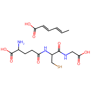 CC=CC=CC(=O)O.NC(CCC(=O)NC(CS)C(=O)NCC(=O)O)C(=O)O